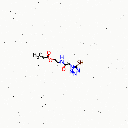 C=CC(=O)OCCNC(=O)Cn1nnnc1S